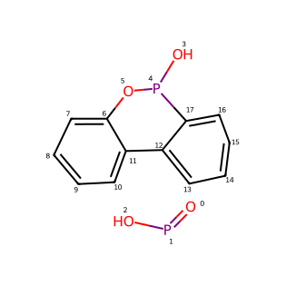 O=PO.OP1Oc2ccccc2-c2ccccc21